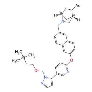 CC(=O)C1C[C@@H]2C[C@H]1CN2Cc1ccc2cc(Oc3ccc(-c4ccnn4COCC[Si](C)(C)C)cn3)ccc2c1